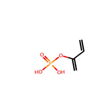 C=CC(=C)OP(=O)(O)O